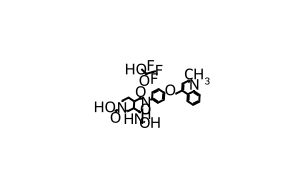 Cc1cc(COc2ccc(NC(=O)C3CCN(C(=O)O)CC3C(=O)NO)cc2)c2ccccc2n1.O=C(O)C(F)(F)F